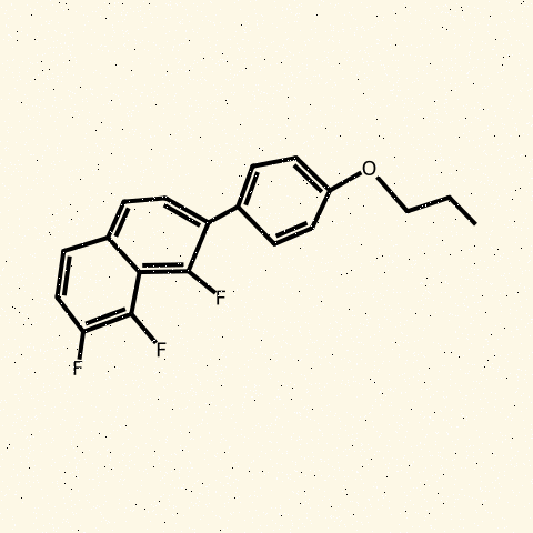 CCCOc1ccc(-c2ccc3ccc(F)c(F)c3c2F)cc1